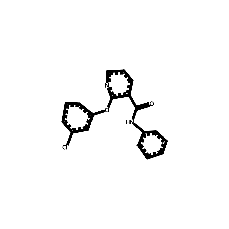 O=C(Nc1ccccc1)c1cccnc1Oc1cccc(Cl)c1